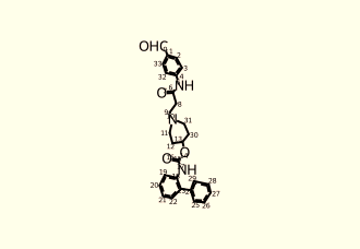 O=Cc1ccc(NC(=O)CCN2CCC(OC(=O)Nc3ccccc3-c3ccccc3)CC2)cc1